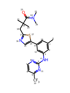 Cc1cc(Nc2nccc(C(F)(F)F)n2)cc(-c2cnc(CC(C)(C)C(=O)N(C)C)s2)c1